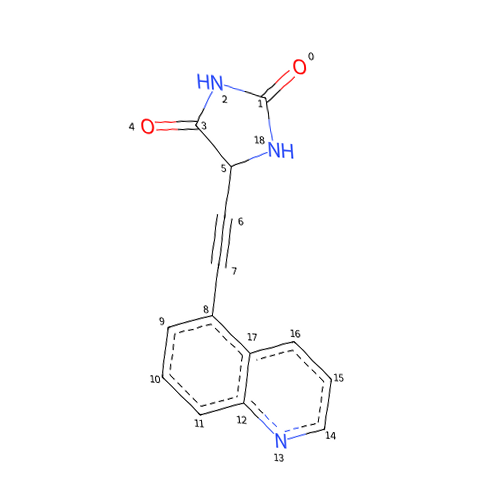 O=C1NC(=O)C(C#Cc2cccc3ncccc23)N1